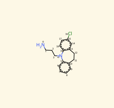 NCCCN1c2ccccc2CCc2cc(Cl)ccc21